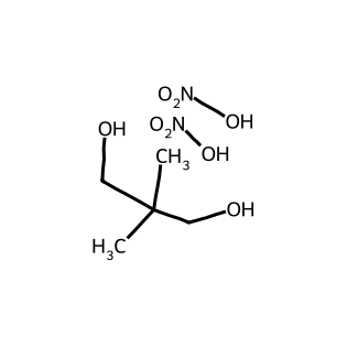 CC(C)(CO)CO.O=[N+]([O-])O.O=[N+]([O-])O